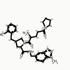 Cn1nnc2cc(CNC(=O)C3CC(Cc4ccccc4C#N)CN3C(=O)C(N)CCC(=O)N3CCCC3)ccc21